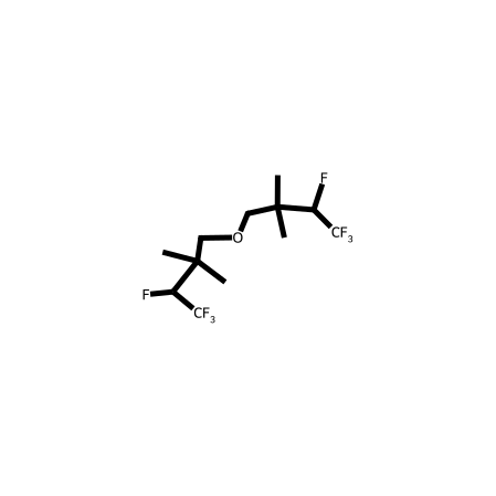 CC(C)(COCC(C)(C)C(F)C(F)(F)F)C(F)C(F)(F)F